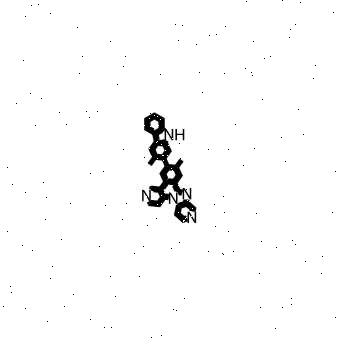 Cc1cc2c(cc1-c1cc3c4cnccc4n4c5ccncc5nc4c3cc1C)[nH]c1ccccc12